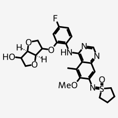 COc1c(N=S2(=O)CCCC2)cc2ncnc(Nc3ccc(F)cc3OC3CO[C@@H]4C(O)CO[C@H]34)c2c1C